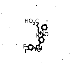 CC1(c2ccc(F)c(F)c2)CC(c2ccc3c(=O)n(-c4ccc(F)cc4)c(CCCCC(=O)O)nc3c2)=NO1